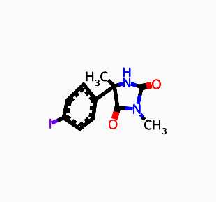 CN1C(=O)NC(C)(c2ccc(I)cc2)C1=O